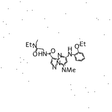 CCOc1ccccc1Nc1cc(NC)n2ncc(C(=O)NCC(=O)N(C)CC)c2n1